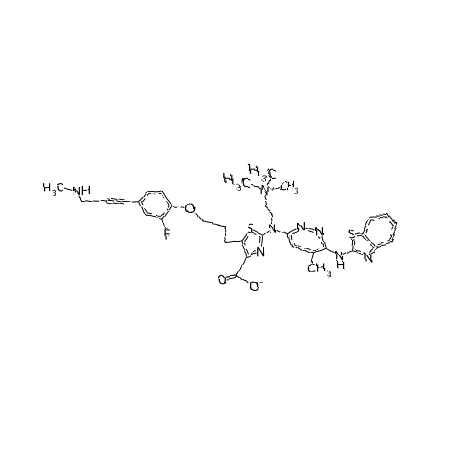 CNCC#Cc1ccc(OCCCc2sc(N(CC[N+](C)(C)C)c3cc(C)c(Nc4nc5ccccc5s4)nn3)nc2C(=O)[O-])c(F)c1